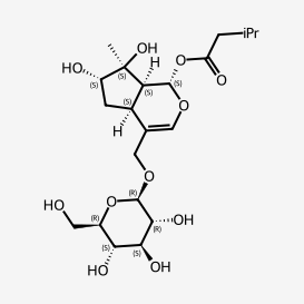 CC(C)CC(=O)O[C@@H]1OC=C(CO[C@@H]2O[C@H](CO)[C@@H](O)[C@H](O)[C@H]2O)[C@H]2C[C@H](O)[C@@](C)(O)[C@@H]12